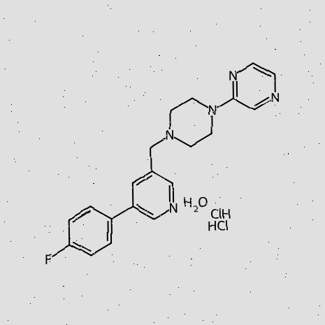 Cl.Cl.Fc1ccc(-c2cncc(CN3CCN(c4cnccn4)CC3)c2)cc1.O